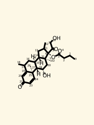 CCCC(=O)O[C@@]1(C(=O)CO)C(C)C[C@H]2[C@@H]3CC(C)C4=CC(=O)C=C[C@]4(C)[C@H]3[C@@H](O)C[C@@]21C